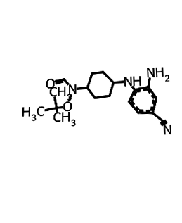 CC(C)(C)ON(C=O)C1CCC(Nc2ccc(C#N)cc2N)CC1